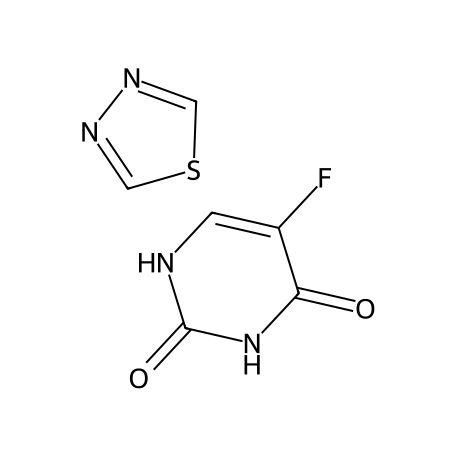 O=c1[nH]cc(F)c(=O)[nH]1.c1nncs1